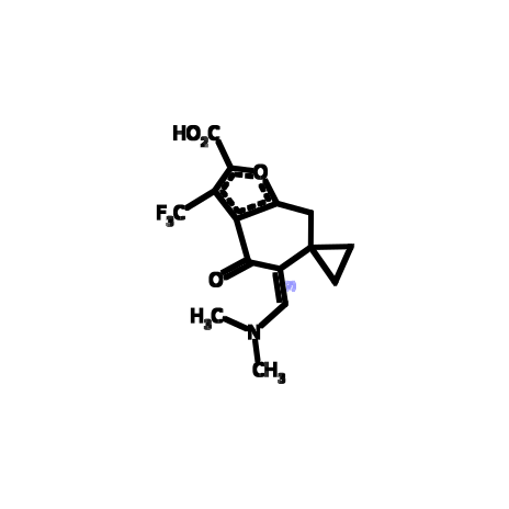 CN(C)/C=C1\C(=O)c2c(oc(C(=O)O)c2C(F)(F)F)CC12CC2